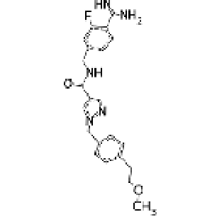 COCCc1ccc(Cn2cc(C(=O)NCc3ccc(C(=N)N)c(F)c3)cn2)cc1